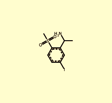 CC(N)c1cc(I)ccc1S(C)(=O)=O